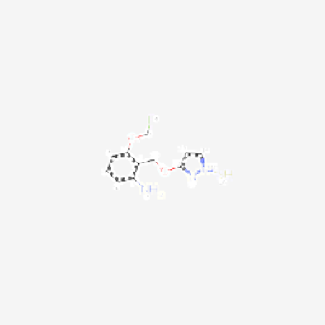 Nc1cccc(OCF)c1COc1ccn(S)n1